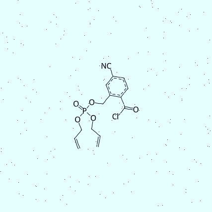 C=CCOP(=O)(OCC=C)OCc1cc(C#N)ccc1C(=O)Cl